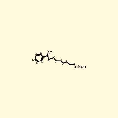 CCCCCCCCCCCCCCCCCC(S)c1ccccc1